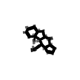 OC1C2C=CCC2NC2CC3C=CC=C[C@@H]3N21